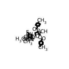 C#C[C@]1(COC(=O)c2ccc(C)cc2)OC(n2cnc3c(N[Si](C)(C)C)nc(F)nc32)CC1OC(=O)c1ccc(C)cc1